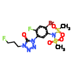 CS(=O)(=O)N(c1cc(-n2nnn(CCCF)c2=O)c(F)cc1Br)S(C)(=O)=O